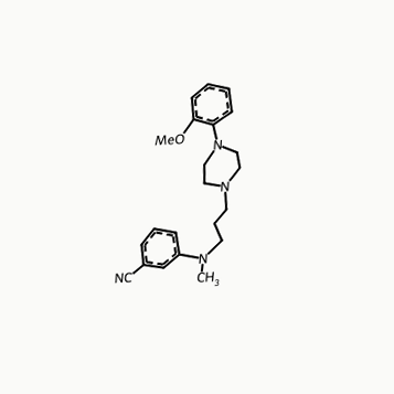 COc1ccccc1N1CCN(CCCN(C)c2cccc(C#N)c2)CC1